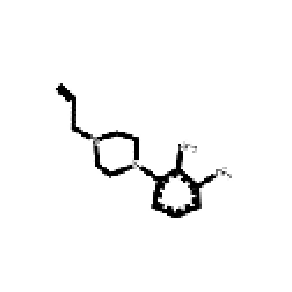 C=CCN1CCN(c2cccc(C(F)(F)F)c2N)CC1